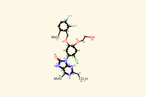 COc1ccc(F)c(F)c1COc1cc(-n2c(=O)[nH]c3c(OC)nc(CC(=O)O)nc32)c(Cl)cc1OCCO